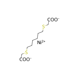 O=C([O-])CSCCCCCCSCC(=O)[O-].[Ni+2]